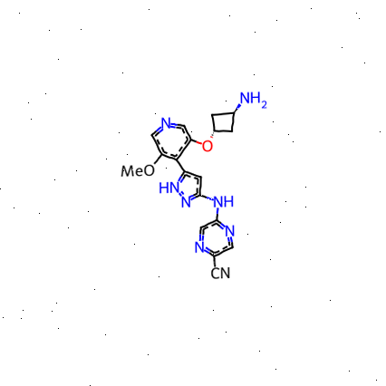 COc1cncc(O[C@H]2C[C@H](N)C2)c1-c1cc(Nc2cnc(C#N)cn2)n[nH]1